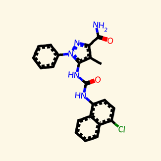 Cc1c(C(N)=O)nn(-c2ccccc2)c1NC(=O)Nc1ccc(Cl)c2ccccc12